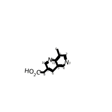 Cc1cncc2cc(CC(=O)O)cnc12